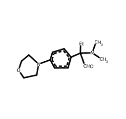 CCC(C=O)(c1ccc(N2CCOCC2)cc1)N(C)C